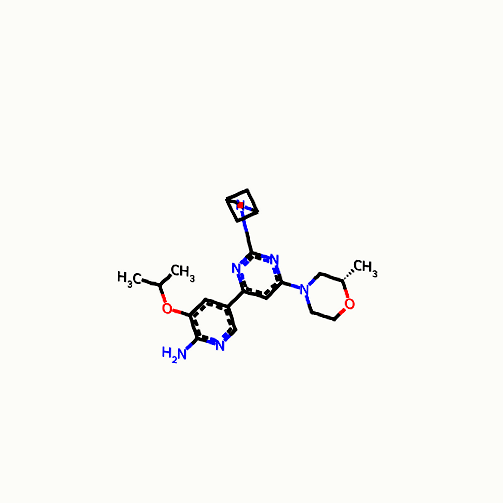 CC(C)Oc1cc(-c2cc(N3CCO[C@@H](C)C3)nc(N3CC4CC3C4)n2)cnc1N